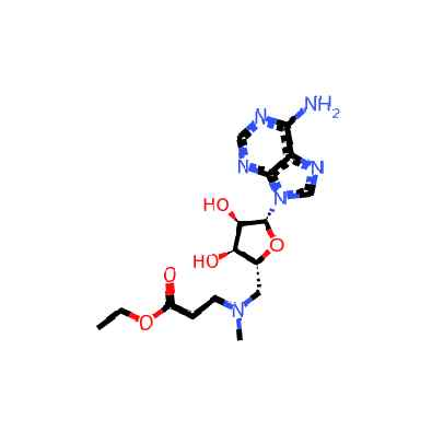 CCOC(=O)CCN(C)C[C@H]1O[C@@H](n2cnc3c(N)ncnc32)[C@H](O)[C@@H]1O